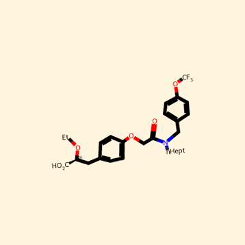 CCCCCCCN(Cc1ccc(OC(F)(F)F)cc1)C(=O)COc1ccc(C[C@H](OCC)C(=O)O)cc1